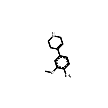 COc1cc(C2=CCNCC2)ccc1N